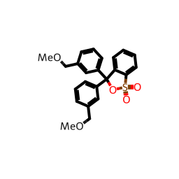 COCc1cccc(C2(c3cccc(COC)c3)OS(=O)(=O)c3ccccc32)c1